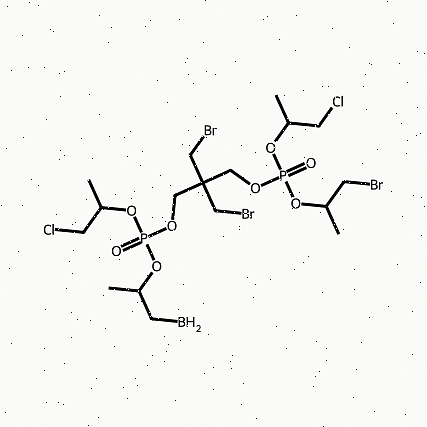 BCC(C)OP(=O)(OCC(CBr)(CBr)COP(=O)(OC(C)CCl)OC(C)CBr)OC(C)CCl